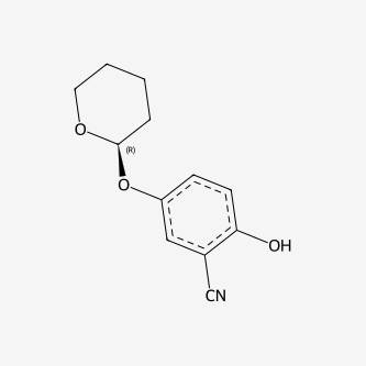 N#Cc1cc(O[C@@H]2CCCCO2)ccc1O